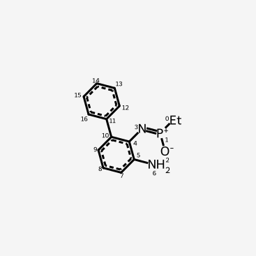 CC/[P+]([O-])=N/c1c(N)cccc1-c1ccccc1